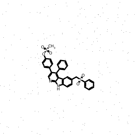 CS(=O)(=O)Oc1ccc(-c2cnc3[nH]c4ccc(CS(=O)(=O)c5ccccc5)cc4c3c2-c2ccccc2)cc1